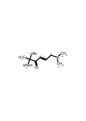 CCCCCC(C)(CCCC)C(=O)/C=C/CN(C)C